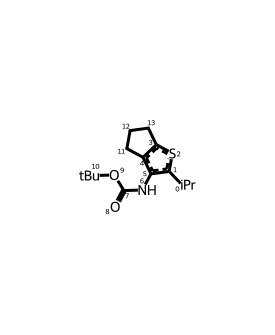 CC(C)c1sc2c(c1NC(=O)OC(C)(C)C)CCC2